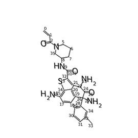 C=CC(=O)N1CCCC(NC(=O)c2sc3c(N)ccc4c3c2C(N)C(=O)C4(N)c2cccc(C)c2)C1